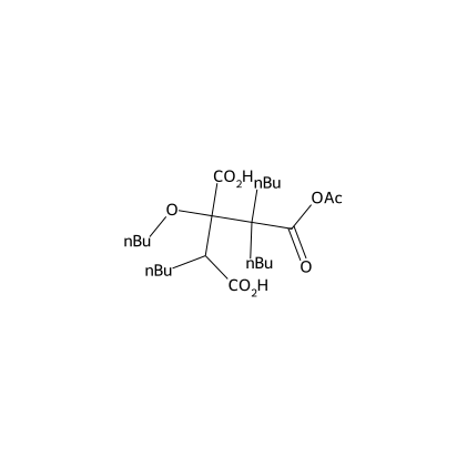 CCCCOC(C(=O)O)(C(CCCC)C(=O)O)C(CCCC)(CCCC)C(=O)OC(C)=O